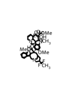 CC[C@]12C=CCN3CC[C@@]4(c5cc([C@@]6(C(=O)OC)CC7CC(C(C)(F)F)CN(Cc8c6[nH]c6ccccc86)C7)c(OC)cc5N(C)[C@H]4[C@@](O)(C(=O)OC)[C@@H]1OC(C)=O)C32